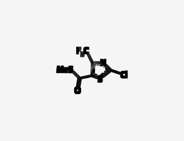 CSC(=O)c1sc(Cl)nc1C(F)(F)F